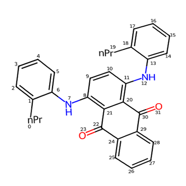 CCCc1ccccc1Nc1ccc(Nc2ccccc2CCC)c2c1C(=O)c1ccccc1C2=O